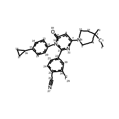 CCC1(C)CCN(c2cc(=O)n(-c3ccc(C4CC4)cc3)c(-c3ccc(C#N)c(F)c3)n2)CC1